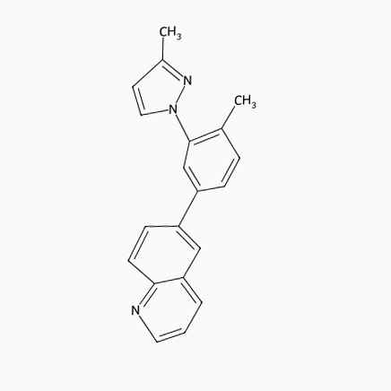 Cc1ccn(-c2cc(-c3ccc4ncccc4c3)ccc2C)n1